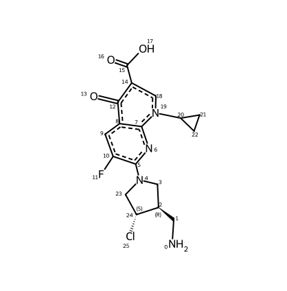 NC[C@@H]1CN(c2nc3c(cc2F)c(=O)c(C(=O)O)cn3C2CC2)C[C@H]1Cl